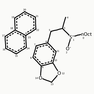 CCCCCCCC[S+]([O-])C(C)Cc1ccc2c(c1)OCO2.c1ccc2ccccc2c1